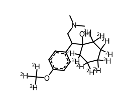 [2H]C([2H])([2H])Oc1ccc(C(CN(C)C)C2(O)C([2H])([2H])C([2H])([2H])C([2H])([2H])C([2H])([2H])C2([2H])[2H])cc1